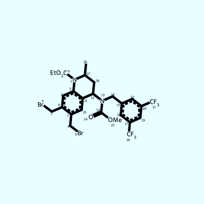 CCOC(=O)N1c2cc(CBr)c(CBr)cc2C(N(Cc2cc(C(F)(F)F)cc(C(F)(F)F)c2)C(=O)OC)CC1C